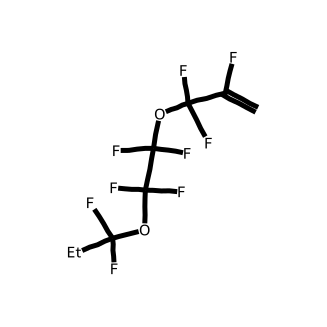 C=C(F)C(F)(F)OC(F)(F)C(F)(F)OC(F)(F)CC